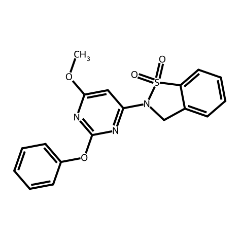 COc1cc(N2Cc3ccccc3S2(=O)=O)nc(Oc2ccccc2)n1